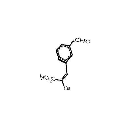 CC(C)(C)C(=Cc1cccc(C=O)c1)C(=O)O